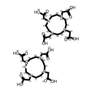 O=C(O)CN1CCN(CC(=O)O)CCN(CC(=O)O)CCN(CC(=O)O)CC1.O=C(O)CN1CCN(CC(=O)O)CCN(CC(=O)O)CCN(CC(=O)O)CC1